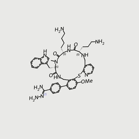 COc1ccc(-c2ccc(/C(N)=N/N)cc2)c2c1Sc1ncccc1CN[C@@H](CCCN)C(=O)N[C@@H](CCCCN)C(=O)N(C)[C@@H](Cc1c[nH]c3ccccc13)C(=O)NC2